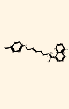 Cc1ccc(SCCCCCN[C@H](C)c2cccc3ccccc23)cc1